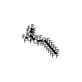 FC(F)(F)OC(F)(OC(F)(F)C(F)(F)F)C(F)(F)OC(F)(F)C(F)(F)OC(F)(F)C(F)(F)C(F)(F)C(F)(F)C(F)(F)C(F)(F)F